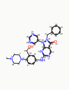 CN1CCN(c2ccc(Nc3ncc4c(=O)n(Cc5ccccc5)n(-c5cncnc5)c4n3)cc2CO)CC1